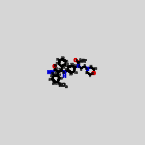 CC(C)C(=O)N(CCN1CCOCC1)c1ccc(NC(=C2C(=O)Nc3ccc([N+](=O)[O-])cc32)c2ccccc2)cc1